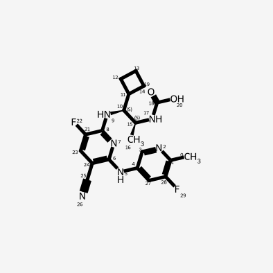 Cc1ncc(Nc2nc(N[C@@H](C3CCC3)[C@H](C)NC(=O)O)c(F)cc2C#N)cc1F